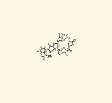 CC1C2CCN(c3nc(OC[C@@]45CCCN4C[C@H](F)C5)nc4c(F)c(-c5ccc(F)c6sc(N)c(C#N)c56)c(Cl)cc34)C2CN1C(=O)n1cnc(Cl)n1